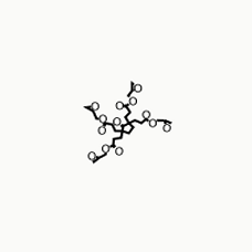 O=C(CCC1(CCC(=O)OCC2CO2)CCC(CCC(=O)OCC2CO2)(CCC(=O)OCC2CO2)C1=O)OCC1CO1